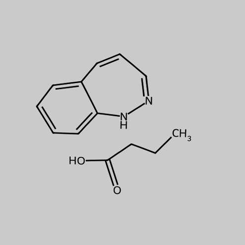 C1=Cc2ccccc2NN=C1.CCCC(=O)O